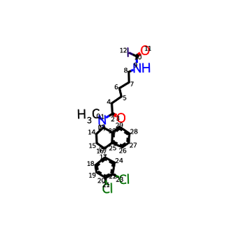 CN(C(=O)CCCCCNC(=O)I)[C@H]1CC[C@@H](c2ccc(Cl)c(Cl)c2)c2ccccc21